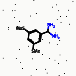 CSc1cc(SC)cc(C(N)N)c1